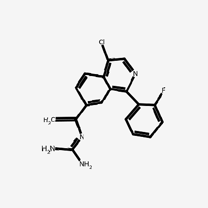 C=C(N=C(N)N)c1ccc2c(Cl)cnc(-c3ccccc3F)c2c1